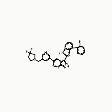 Fc1ccccc1-c1cccc2[nH]c(-c3n[nH]c4ncc(-c5cncc(CN6CCC(F)(F)C6)c5)cc34)nc12